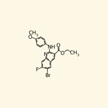 CCOC(=O)c1cc2cc(Br)c(F)cc2nc1Nc1ccc(OC)cc1